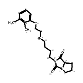 Cc1cccc(OCCNCCCCN2C(=O)C3CCCN3C2=O)c1C